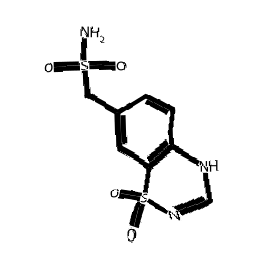 NS(=O)(=O)Cc1ccc2c(c1)S(=O)(=O)N=CN2